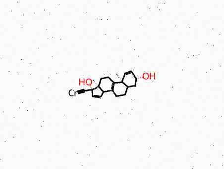 C[C@]12CCC3=C(CCC4C[C@@H](O)C=C[C@]34C)C1C=C[C@@]2(O)[C]#[Cr]